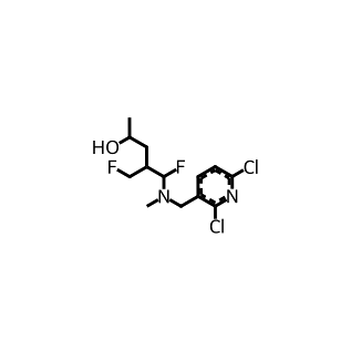 CC(O)CC(CF)C(F)N(C)Cc1ccc(Cl)nc1Cl